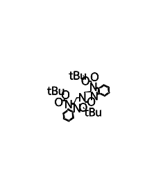 CC(C)(C)OC(=O)N(Cc1nc2ccccc2n1C(=O)OC(C)(C)C)Cc1nc2ccccc2n1C(=O)OC(C)(C)C